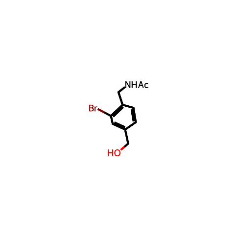 CC(=O)NCc1ccc(CO)cc1Br